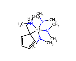 CC[C]1([Hf]([N](C)C)([N](C)C)([N](C)C)[N](C)C)C=CC=C1